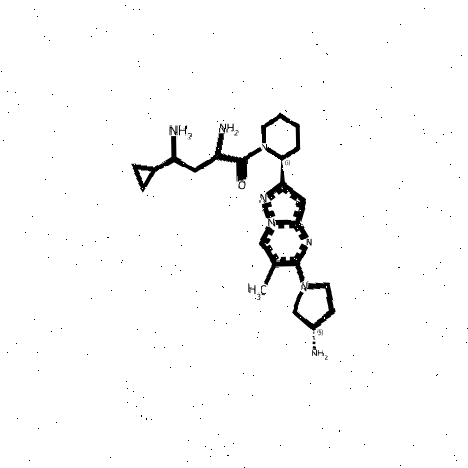 Cc1cn2nc([C@@H]3CCCCN3C(=O)C(N)CC(N)C3CC3)cc2nc1N1CC[C@H](N)C1